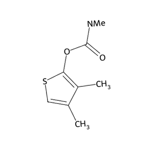 CNC(=O)Oc1scc(C)c1C